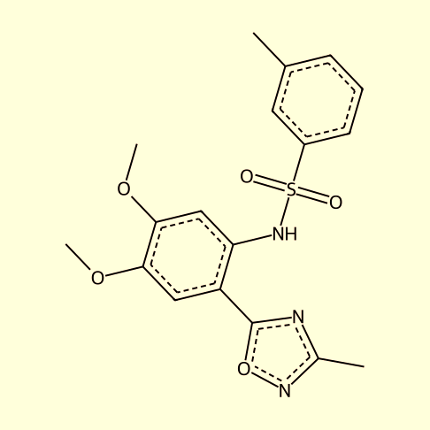 COc1cc(NS(=O)(=O)c2cccc(C)c2)c(-c2nc(C)no2)cc1OC